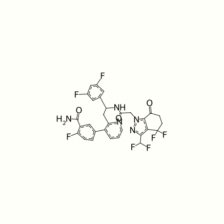 NC(=O)c1cc(-c2cccnc2CC(NC(=O)Cn2nc(C(F)F)c3c2C(=O)CCC3(F)F)c2cc(F)cc(F)c2)ccc1F